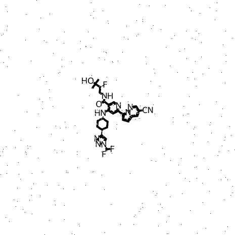 CC(C)(O)[C@H](F)CNC(=O)c1cnc(-c2ccc3cc(C#N)cnn23)cc1N[C@H]1CC[C@H](c2cn(C(F)F)nn2)CC1